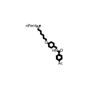 CCCCCN(C)CCCCCCOC1CCC(CNC(=O)c2ccc(C(C)=O)cc2)CC1